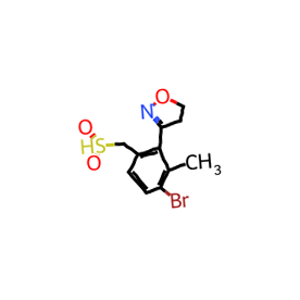 Cc1c(Br)ccc(C[SH](=O)=O)c1C1=NOCC1